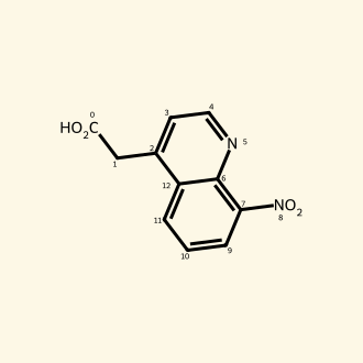 O=C(O)Cc1ccnc2c([N+](=O)[O-])cccc12